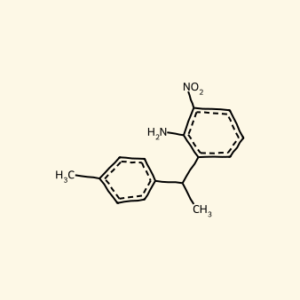 Cc1ccc(C(C)c2cccc([N+](=O)[O-])c2N)cc1